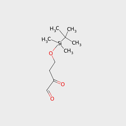 CC(C)(C)[Si](C)(C)OCCC(=O)C=O